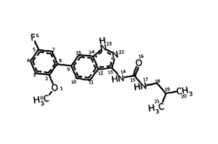 COc1ccc(F)cc1-c1ccc2c(NC(=O)NCC(C)C)n[nH]c2c1